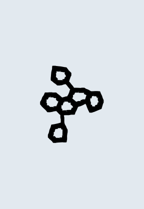 c1ccc(-c2cc3c4ccccc4cc(-c4ccccc4)c3c3ccccc23)cc1